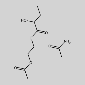 CC(N)=O.CCC(O)C(=O)OCCOC(C)=O